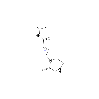 CC(C)NC(=O)/C=C/CN1CCNCC1=O